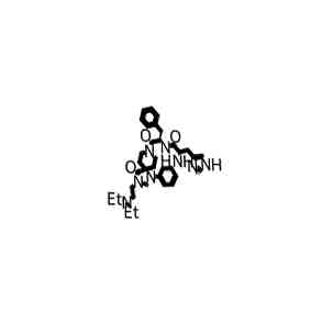 CCN(CC)CCN1CN(C2=CC=CCC2)C2(CCN(C(=O)[C@@H](Cc3ccccc3)NC(=O)[C@@H](N)Cc3c[nH]cn3)CC2)C1=O